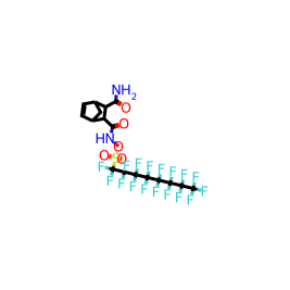 NC(=O)C1C2C=CC(C2)C1C(=O)NOS(=O)(=O)C(F)(F)C(F)(F)C(F)(F)C(F)(F)C(F)(F)C(F)(F)C(F)(F)C(F)(F)F